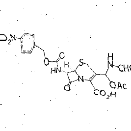 CC(=O)OC(NC=O)C1=C(C(=O)O)N2C(=O)[C@H](NC(=O)OCc3ccc([N+](=O)[O-])cc3)[C@H]2SC1